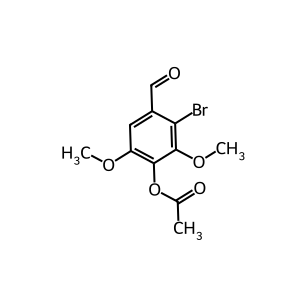 COc1cc(C=O)c(Br)c(OC)c1OC(C)=O